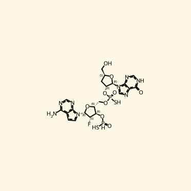 Nc1ncnc2c1ccn2[C@@H]1O[C@H](COP(=O)(S)O[C@@H]2C[C@@H](CO)O[C@H]2n2cnc3c(=O)[nH]cnc32)[C@@H](O[PH](=O)S)[C@@H]1F